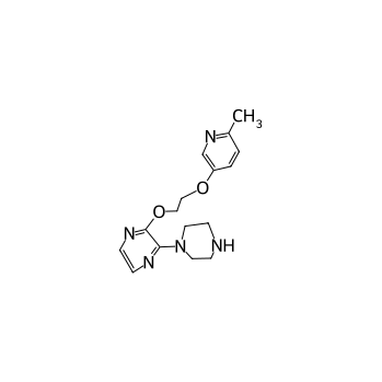 Cc1ccc(OCCOc2nccnc2N2CCNCC2)cn1